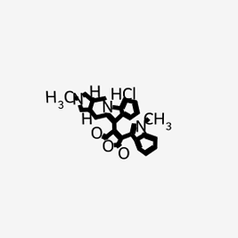 CN1C[C@H]2Cc3c(C4=C(c5cn(C)c6ccccc56)C(=O)OC4=O)c4ccccc4n3C[C@H]2C1.Cl